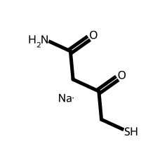 NC(=O)CC(=O)CS.[Na]